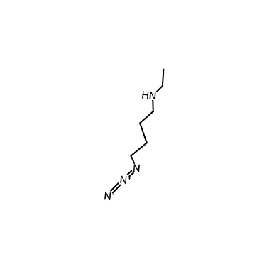 CCNCCCCN=[N+]=[N-]